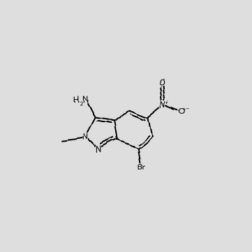 Cn1nc2c(Br)cc([N+](=O)[O-])cc2c1N